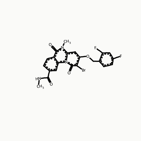 CNC(=O)c1ccc2c(=O)n(C)c3cc(OCc4ccc(F)cc4F)c(Br)c(=O)n3c2c1